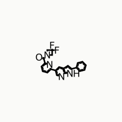 O=C(c1cccc(-c2cnc3[nH]c(-c4ccccc4)cc3c2)n1)N1CC(F)(F)C1